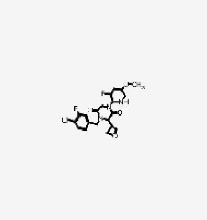 COC1CNC(N2CC(=O)N(Cc3ccc(Cl)c(F)c3)C(C3COC3)C2=O)C(F)C1